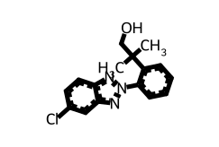 CC(C)(CO)c1ccccc1-n1nc2ccc(Cl)cc2n1